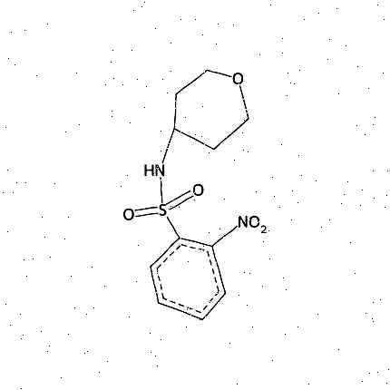 O=[N+]([O-])c1ccccc1S(=O)(=O)NC1CCOCC1